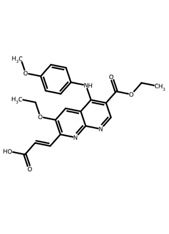 CCOC(=O)c1cnc2nc(C=CC(=O)O)c(OCC)cc2c1Nc1ccc(OC)cc1